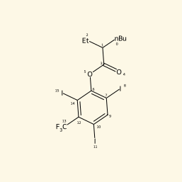 CCCCC(CC)C(=O)Oc1c(I)cc(I)c(C(F)(F)F)c1I